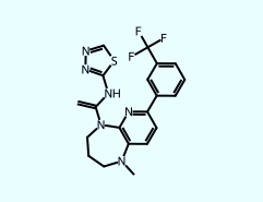 C=C(Nc1nncs1)N1CCCN(C)c2ccc(-c3cccc(C(F)(F)F)c3)nc21